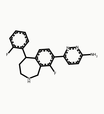 Nc1ccc(-c2ccc3c(c2F)CNCCC3c2ccccc2F)nn1